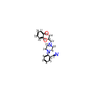 N#Cc1ccccc1N1CCN(CC2COc3ccccc3O2)CC1